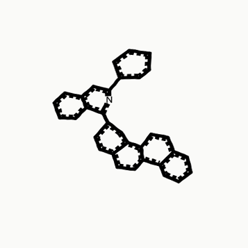 c1ccc(-c2cc3ccccc3c(-c3ccc4ccc5c6ccccc6ccc5c4c3)n2)cc1